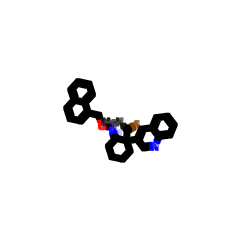 CNC(=S)C1(c2cnc3ccccc3c2)CCCC/C1=N\OCc1cccc2ccccc12